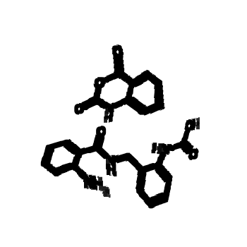 Nc1ccccc1C(=O)NCc1ccccc1NC(=O)O.O=c1[nH]c2ccccc2c(=O)o1